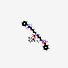 CC(C)(C)OC(=O)N(CCCCCC(=O)Nc1ccccc1)CCCCNOC(=O)c1ccccc1